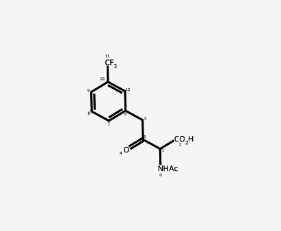 CC(=O)NC(C(=O)O)C(=O)Cc1cccc(C(F)(F)F)c1